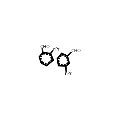 CCCc1cccc(C=O)c1.CCCc1ccccc1C=O